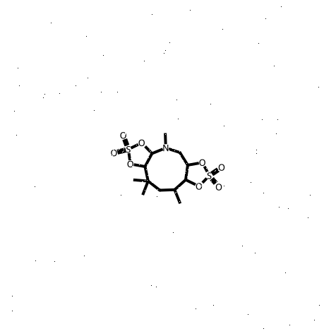 CC1CC(C)(C)C2OS(=O)(=O)OC2N(C)CC2OS(=O)(=O)OC12